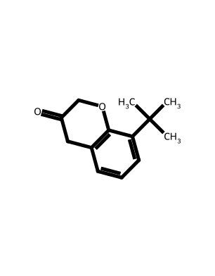 CC(C)(C)c1cccc2c1OCC(=O)C2